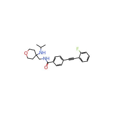 CC(C)NC1(CNC(=O)c2ccc(C#Cc3ccccc3F)cc2)CCOCC1